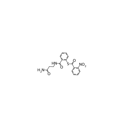 NC(=O)CCNC(=O)c1ccccc1SC(=O)c1ccccc1[N+](=O)[O-]